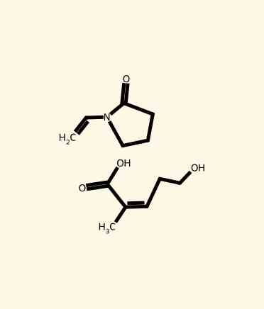 C=CN1CCCC1=O.CC(=CCCO)C(=O)O